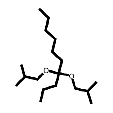 CCCCCCC(CCC)(OCC(C)C)OCC(C)C